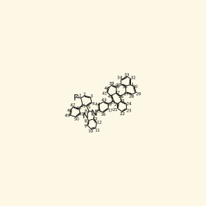 FC1C=CC=C(c2nc3ccccc3n2-c2ccc(-c3c4ccccc4c(-c4cccc5ccccc45)c4ccccc34)cc2)C1c1ccccc1